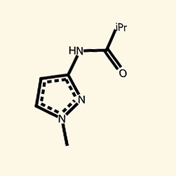 CC(C)C(=O)Nc1ccn(C)n1